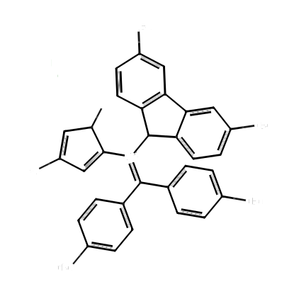 CCC1C=C(C(C)(C)C)C=[C]1[Zr+2](=[C](c1ccc(C(C)(C)C)cc1)c1ccc(C(C)(C)C)cc1)[CH]1c2ccc(C(C)(C)C)cc2-c2cc(C(C)(C)C)ccc21.[Cl-].[Cl-]